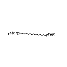 CCCCCCCCCCCCCCCCCCCCCCCCCCOCCCCCC